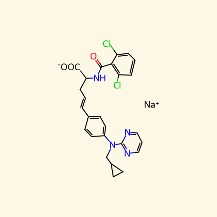 O=C(NC(C/C=C/c1ccc(N(CC2CC2)c2ncccn2)cc1)C(=O)[O-])c1c(Cl)cccc1Cl.[Na+]